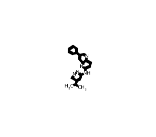 CC(C)c1cnnc(Nc2ccc3ncc(-c4ccccc4)cc3n2)c1